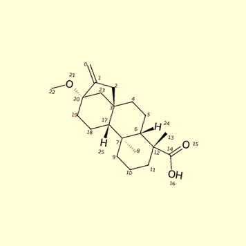 C=C1C[C@@]23CC[C@H]4[C@@](C)(CCC[C@@]4(C)C(=O)O)[C@@H]2CC[C@]1(OC)C3